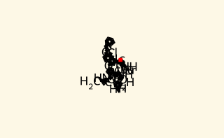 C=C[C@@H]1C[C@]1(NC(=O)[C@@H]1C[C@@H](Oc2cc(-c3csc(NC(C)C)n3)nc3c(Cl)c(OCCN4CCCCC4)ccc23)CN1C(=O)[C@@H](NC(=O)O[C@@H]1C[C@@H]2C[C@@H]2C1)C(C)(C)C)C(=O)O